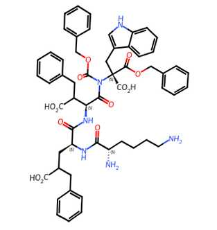 NCCCC[C@H](N)C(=O)N[C@@H](CC(Cc1ccccc1)C(=O)O)C(=O)N[C@H](C(=O)N(C(=O)OCc1ccccc1)[C@@](Cc1c[nH]c2ccccc12)(C(=O)O)C(=O)OCc1ccccc1)C(Cc1ccccc1)C(=O)O